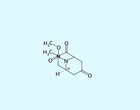 COC(=O)N1C2CC(=O)C[C@H]1CN(C)C2=O